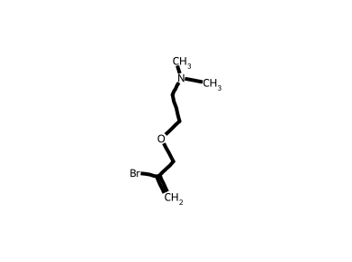 C=C(Br)COCCN(C)C